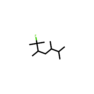 CC(C)C(C)CC(C)C(C)(C)F